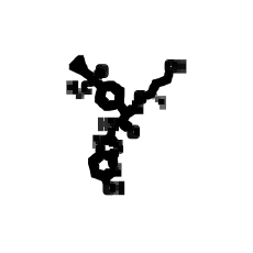 C=S(=O)(c1ccc(/C(=N\O[C@@H](I)CCO)C(=O)Nc2nc3ccc(O)nc3s2)cc1)C1CC1